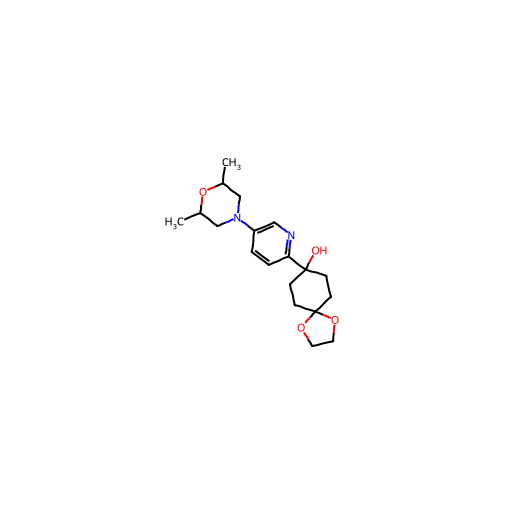 CC1CN(c2ccc(C3(O)CCC4(CC3)OCCO4)nc2)CC(C)O1